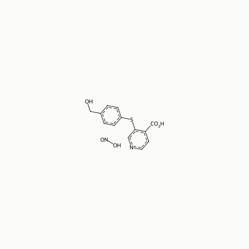 O=C(O)c1ccncc1Sc1ccc(CO)cc1.O=NO